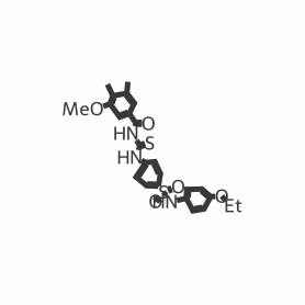 CCOc1ccc(NS(=O)(=O)c2ccc(NC(=S)NC(=O)c3cc(C)c(C)c(OC)c3)cc2)cc1